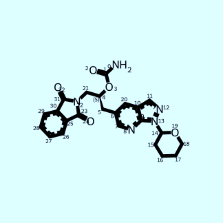 NC(=O)O[C@@H](Cc1cnc2c(cnn2C2CCCCO2)c1)CN1C(=O)c2ccccc2C1=O